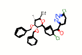 CC[C@H]1OC(c2ccc(Cl)c(C(=O)c3ccc(Cl)nn3)c2)[C@H](OCc2ccccc2)[C@@H](OCc2ccccc2)[C@@H]1C